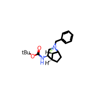 CC(C)(C)OC(=O)N[C@H]1CN(Cc2ccccc2)C2CC[C@@H]1[C@@H]2F